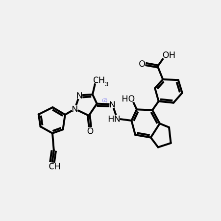 C#Cc1cccc(N2N=C(C)/C(=N/Nc3cc4c(c(-c5cccc(C(=O)O)c5)c3O)CCC4)C2=O)c1